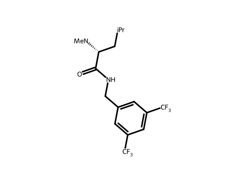 CN[C@H](CC(C)C)C(=O)NCc1cc(C(F)(F)F)cc(C(F)(F)F)c1